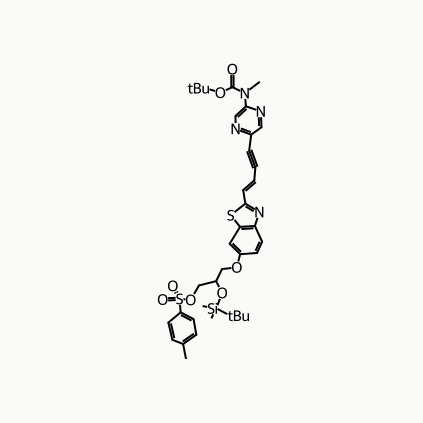 Cc1ccc(S(=O)(=O)OCC(COc2ccc3nc(C=CC#Cc4cnc(N(C)C(=O)OC(C)(C)C)cn4)sc3c2)O[Si](C)(C)C(C)(C)C)cc1